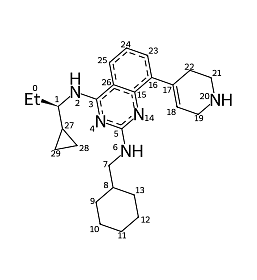 CC[C@@H](Nc1nc(NCC2CCCCC2)nc2c(C3=CCNCC3)cccc12)C1CC1